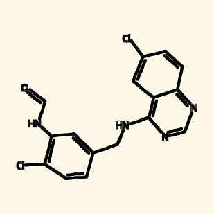 O=CNc1cc(CNc2ncnc3ccc(Cl)cc23)ccc1Cl